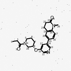 CCC(=O)N1CCC[C@H](Oc2cncc(-c3ccc4c(c3)CCC(=O)N4C)c2)C1